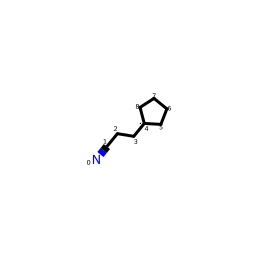 N#CCC[C]1CCCC1